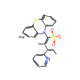 CC=C(C(C)=C(N1c2ccccc2Sc2ccccc21)S(=O)(=O)[O-])c1ccccn1.[Na+]